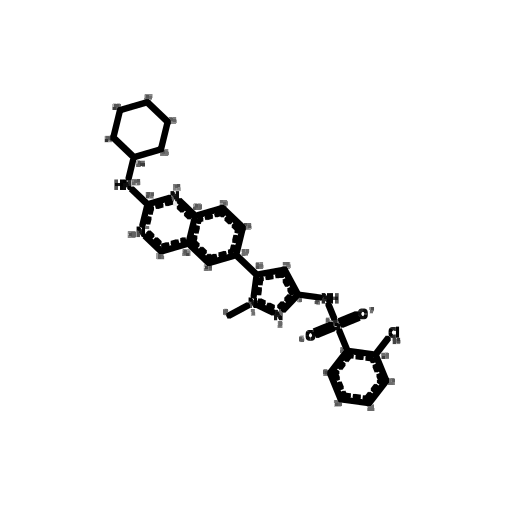 Cn1nc(NS(=O)(=O)c2ccccc2Cl)cc1-c1ccc2nc(NC3CCCCC3)ncc2c1